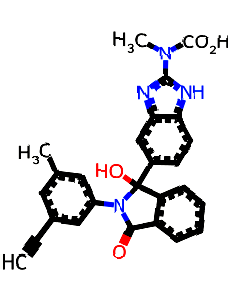 C#Cc1cc(C)cc(N2C(=O)c3ccccc3C2(O)c2ccc3[nH]c(N(C)C(=O)O)nc3c2)c1